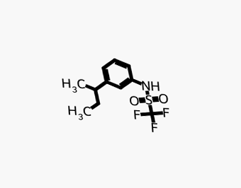 CCC(C)c1cccc(NS(=O)(=O)C(F)(F)F)c1